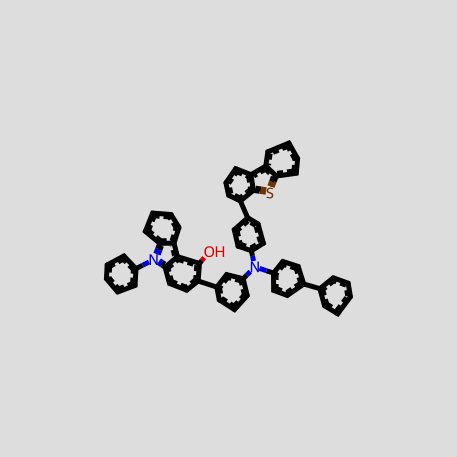 Oc1c(-c2cccc(N(c3ccc(-c4ccccc4)cc3)c3ccc(-c4cccc5c4sc4ccccc45)cc3)c2)ccc2c1c1ccccc1n2-c1ccccc1